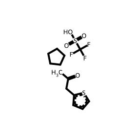 C1CCCC1.CC(=O)Cc1cccs1.O=S(=O)(O)C(F)(F)F